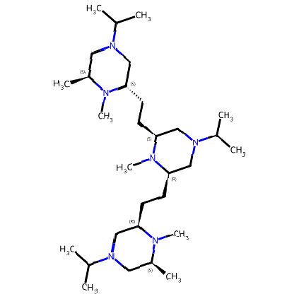 CC(C)N1C[C@@H](CC[C@@H]2CN(C(C)C)C[C@H](C)N2C)N(C)[C@@H](CC[C@H]2CN(C(C)C)C[C@H](C)N2C)C1